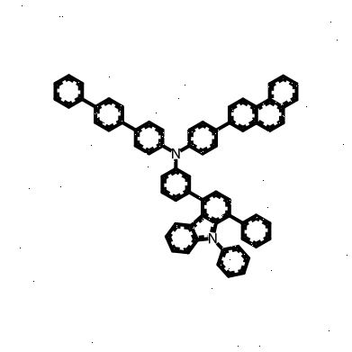 c1ccc(-c2ccc(-c3ccc(N(c4ccc(-c5ccc6c(ccc7ccccc76)c5)cc4)c4cccc(-c5ccc(-c6ccccc6)c6c5c5ccccc5n6-c5ccccc5)c4)cc3)cc2)cc1